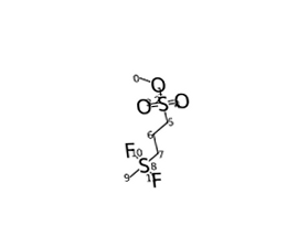 COS(=O)(=O)CCCS(C)(F)F